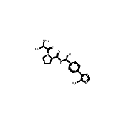 CNC(C(=O)N1CCCC1C(=O)NC(C)c1ccc(-c2scnc2C)cc1)C(C)(C)C